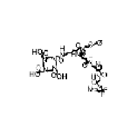 COCCOCCNC(=O)C(CCCCNC(=O)CN1CCN(CC(=O)O)CCN(CC(=O)O)CCN(CC(=O)O)CC1)NC(=O)CCC(=O)NCc1cc(C(=O)NCC(=O)N2CC(F)(F)C[C@H]2C#N)ccn1